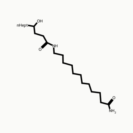 CCCCCCCC(O)CCC(=O)NCCCCCCCCCCCC(N)=O